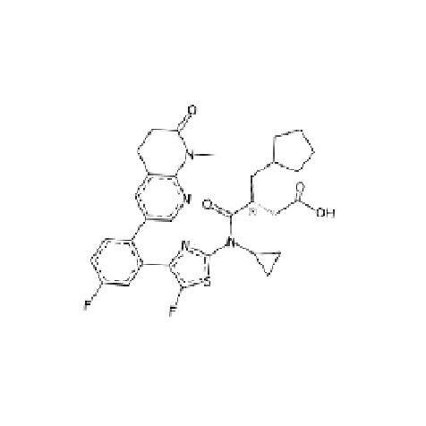 CN1C(=O)CCc2cc(-c3ccc(F)cc3-c3nc(N(C(=O)[C@@H](CC(=O)O)CC4CCCC4)C4CC4)sc3F)cnc21